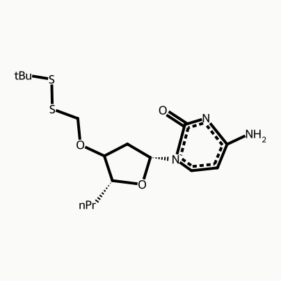 CCC[C@H]1O[C@@H](n2ccc(N)nc2=O)CC1OCSSC(C)(C)C